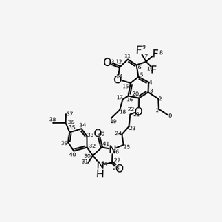 CCCc1cc2c(C(F)(F)F)cc(=O)oc2c(CCC)c1OCCCCN1C(=O)NC(C)(c2ccc(C(C)C)cc2)C1=O